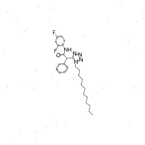 CCCCCCCCCCCCn1nnnc1C(C(=O)Nc1ccc(F)cc1F)c1ccccc1